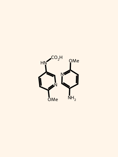 COc1ccc(N)cn1.COc1ccc(NC(=O)O)cn1